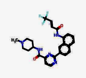 CN1CCC(NC(=O)c2ccnc(-c3ccc4cccc(NC(=O)/C=C/C(F)(F)F)c4c3)n2)CC1